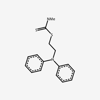 CNC(=S)SCCN(c1ccccc1)c1ccccc1